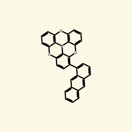 c1cc2c3c(c1)Oc1ccc(-c4cccc5cc6ccccc6cc45)c4c1B3c1c(cccc1O4)O2